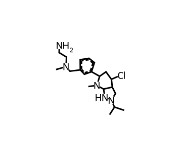 CC(C)N1CC2C(Cl)CC(c3cccc(CN(C)CCN)c3)N(C)C2N1